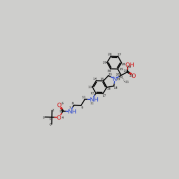 CC(C)(C)OC(=O)NCCCNc1ccc2c(c1)CN([C@](C)(C(=O)O)c1ccccc1)C2